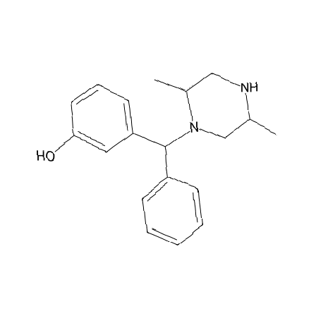 CC1CN(C(c2ccccc2)c2cccc(O)c2)C(C)CN1